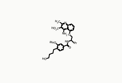 COc1cc(C(=O)NC(COc2cccc3nc(C)c(C(=O)O)c(N)c23)C(C)C)ccc1CCCCO